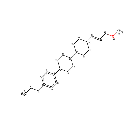 CCCc1ccc(C2CCC(C3CCC(/C=C/COC)CC3)CC2)cc1